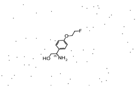 N[C@@H](CO)c1ccc(OCCF)cc1